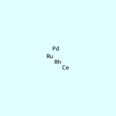 [Ce].[Pd].[Rh].[Ru]